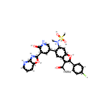 CNC(=O)c1c(-c2ccc(F)cc2)oc2cc(N(C)S(C)(=O)=O)c(-c3c[nH]c(=O)c(-c4nc5ncccc5o4)c3)cc12